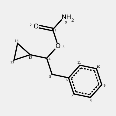 NC(=O)OC(Cc1ccccc1)C1CC1